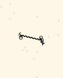 CSC(=O)CCCCCCCCCCCCC(=O)N(C)CC(C)C